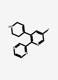 Fc1cnc(-c2cnccn2)c(C2=CCNCC2)c1